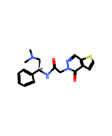 CN(C)C[C@H](NC(=O)Cn1ncc2sccc2c1=O)c1ccccc1